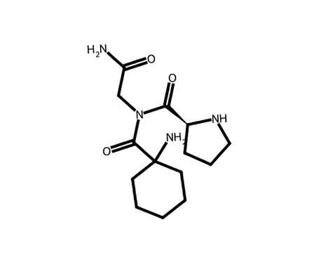 NC(=O)CN(C(=O)[C@@H]1CCCN1)C(=O)C1(N)CCCCC1